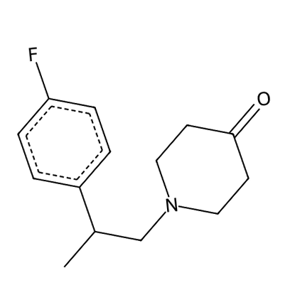 CC(CN1CCC(=O)CC1)c1ccc(F)cc1